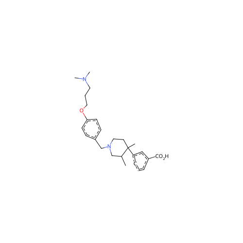 CC1CN(Cc2ccc(OCCCN(C)C)cc2)CCC1(C)c1cccc(C(=O)O)c1